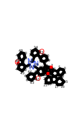 c1ccc2c(c1)-c1ccccc1C21c2ccccc2-c2cccc(-c3ccc(-c4ccc5oc6cccc(-c7nc(-c8cccc9oc%10ccccc%10c89)nc(-c8cccc9oc%10ccccc%10c89)n7)c6c5c4)cc3)c21